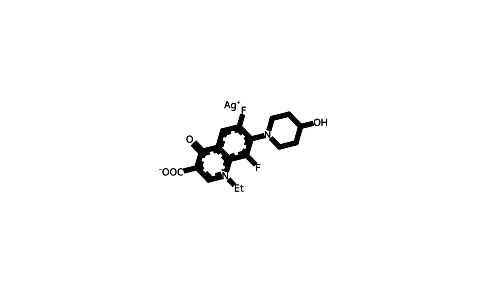 CCn1cc(C(=O)[O-])c(=O)c2cc(F)c(N3CCC(O)CC3)c(F)c21.[Ag+]